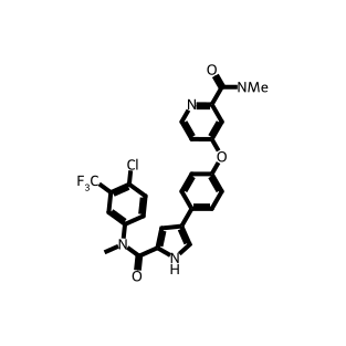 CNC(=O)c1cc(Oc2ccc(-c3c[nH]c(C(=O)N(C)c4ccc(Cl)c(C(F)(F)F)c4)c3)cc2)ccn1